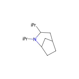 CC(C)C1CC2CCC(C2)N1C(C)C